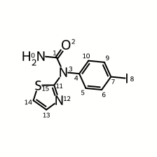 NC(=O)N(c1ccc(I)cc1)c1nccs1